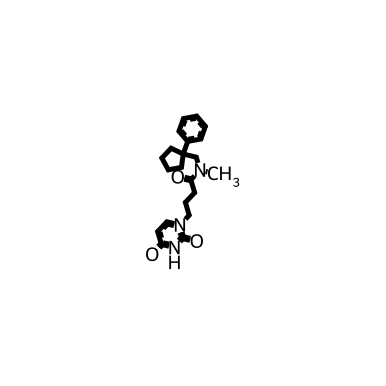 CN(CC1(c2ccccc2)CCCC1)C(=O)CCCn1ccc(=O)[nH]c1=O